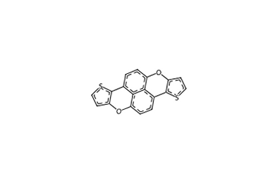 c1cc2c(s1)-c1ccc3c4c(ccc(c14)O2)-c1sccc1O3